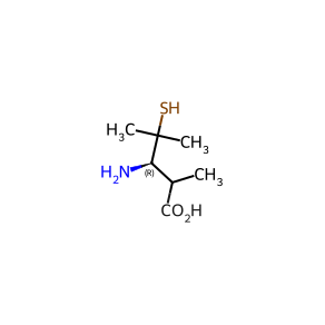 CC(C(=O)O)[C@@H](N)C(C)(C)S